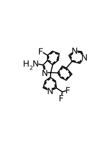 NC1=NC(c2cccc(-c3cncnc3)c2)(c2ccnc(C(F)F)c2)c2cccc(F)c21